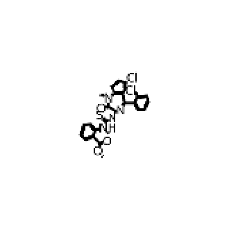 COC(=O)c1ccccc1N(C)C(=S)NC1N=C(c2ccccc2Cl)c2cc(Cl)ccc2N(C)C1=O